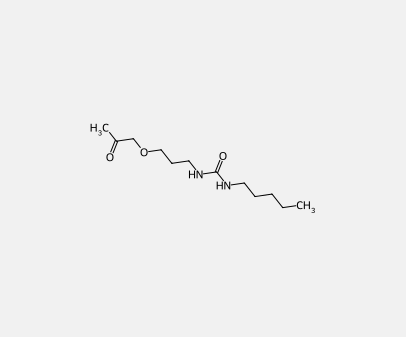 CCCCCNC(=O)NCCCOCC(C)=O